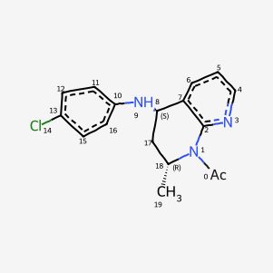 CC(=O)N1c2ncccc2[C@@H](Nc2ccc(Cl)cc2)C[C@H]1C